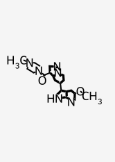 COc1cnc2[nH]cc(-c3ccn4ncc(C(=O)N5CCN(C)CC5)c4c3)c2c1